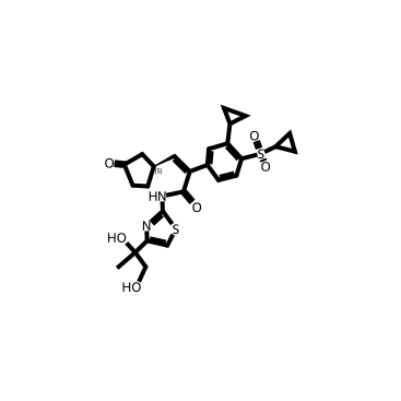 CC(O)(CO)c1csc(NC(=O)C(=C[C@H]2CCC(=O)C2)c2ccc(S(=O)(=O)C3CC3)c(C3CC3)c2)n1